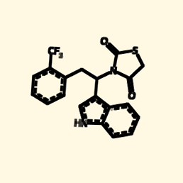 O=C1CSC(=O)N1C(Cc1ccccc1C(F)(F)F)c1c[nH]c2ccccc12